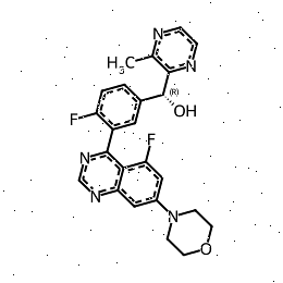 Cc1nccnc1[C@H](O)c1ccc(F)c(-c2ncnc3cc(N4CCOCC4)cc(F)c23)c1